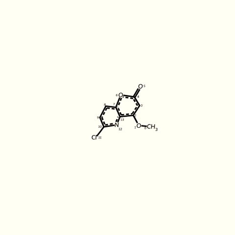 COc1cc(=O)oc2ccc(Cl)nc12